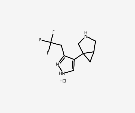 Cl.FC(F)(F)Cc1n[nH]cc1C12CNCC1C2